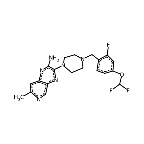 Cc1cc2nc(N)c(N3CCN(Cc4ccc(OC(F)F)cc4F)CC3)nc2cn1